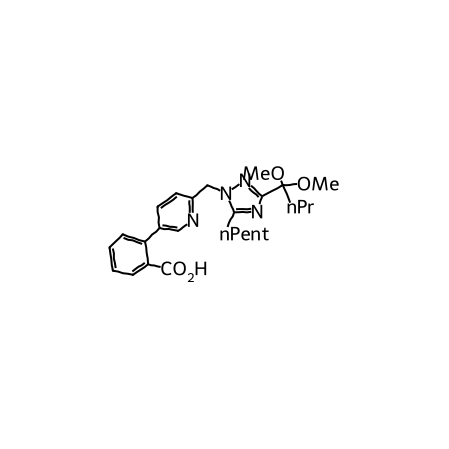 CCCCCc1nc(C(CCC)(OC)OC)nn1Cc1ccc(-c2ccccc2C(=O)O)cn1